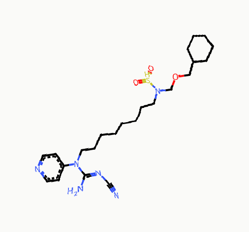 N#CN=C(N)N(CCCCCCCCN(COCC1CCCCC1)[SH](=O)=O)c1ccncc1